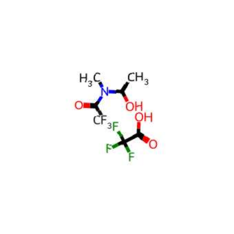 CC(O)N(C)C(=O)C(F)(F)F.O=C(O)C(F)(F)F